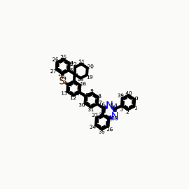 c1ccc(-c2nc(-c3ccc(-c4ccc5c(c4)C4(CCCCC4)c4ccccc4S5)cc3)c3ccccc3n2)cc1